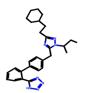 CCC(C)n1nc(CCC2CCCCC2)nc1Cc1ccc(-c2ccccc2-c2nnn[nH]2)cc1